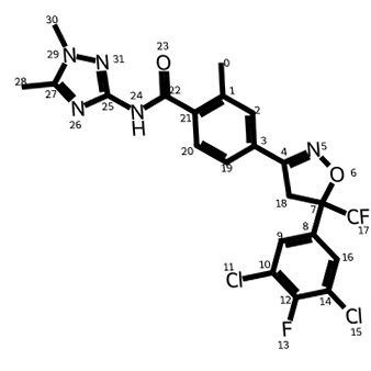 Cc1cc(C2=NOC(c3cc(Cl)c(F)c(Cl)c3)(C(F)(F)F)C2)ccc1C(=O)Nc1nc(C)n(C)n1